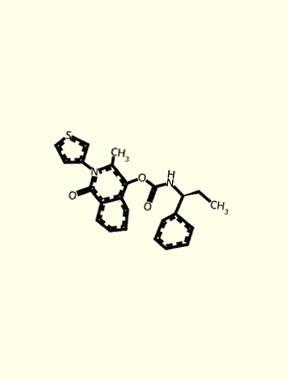 CC[C@H](NC(=O)Oc1c(C)n(-c2ccsc2)c(=O)c2ccccc12)c1ccccc1